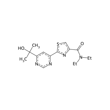 CCN(CC)C(=O)c1csc(-c2cc(C(C)(C)O)ncn2)n1